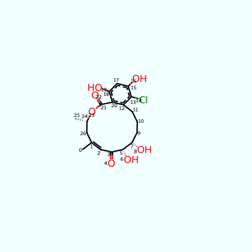 C/C1=C/C(=O)[C@@H](O)[C@@H](O)CCCc2c(Cl)c(O)cc(O)c2C(=O)O[C@@H](C)C1